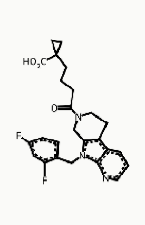 O=C(CCCC1(C(=O)O)CC1)N1CCc2c(n(Cc3ccc(F)cc3F)c3ncccc23)C1